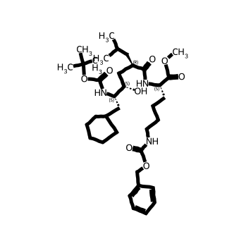 COC(=O)[C@H](CCCCNC(=O)OCc1ccccc1)NC(=O)[C@H](CC(C)C)C[C@H](O)[C@H](CC1CCCCC1)NC(=O)OC(C)(C)C